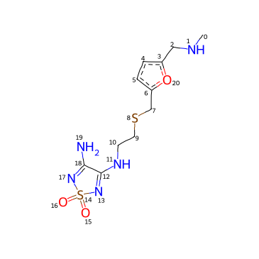 CNCc1ccc(CSCCNC2=NS(=O)(=O)N=C2N)o1